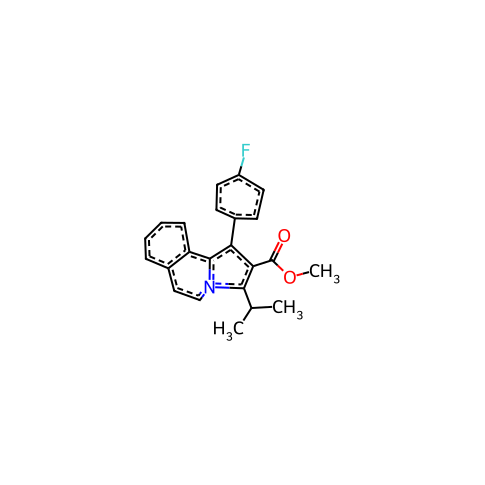 COC(=O)c1c(-c2ccc(F)cc2)c2c3ccccc3ccn2c1C(C)C